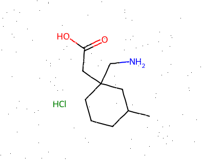 CC1CCCC(CN)(CC(=O)O)C1.Cl